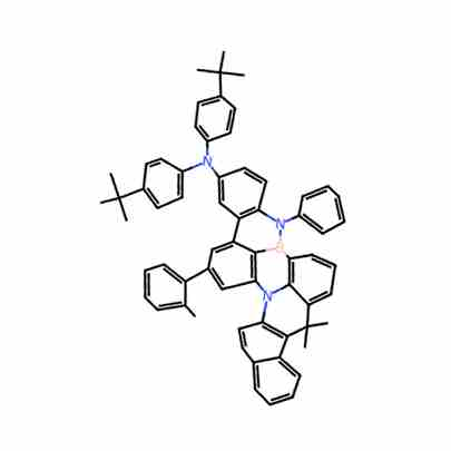 Cc1ccccc1-c1cc2c3c(c1)N1c4ccc5ccccc5c4C(C)(C)c4cccc(c41)B3N(c1ccccc1)c1ccc(N(c3ccc(C(C)(C)C)cc3)c3ccc(C(C)(C)C)cc3)cc1-2